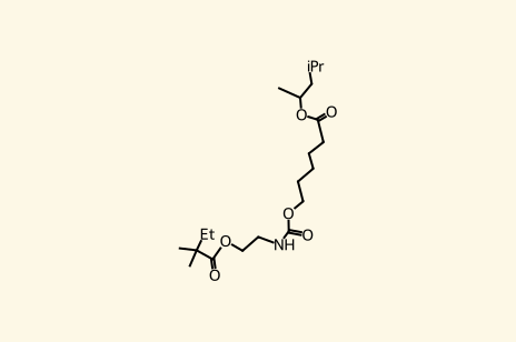 CCC(C)(C)C(=O)OCCNC(=O)OCCCCCC(=O)OC(C)CC(C)C